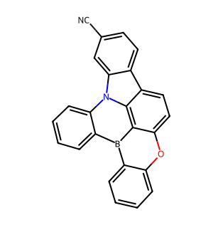 N#Cc1ccc2c3ccc4c5c3n(c2c1)-c1ccccc1B5c1ccccc1O4